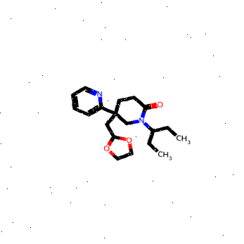 CCC(CC)N1CC(CC2OCCO2)(c2ccccn2)CCC1=O